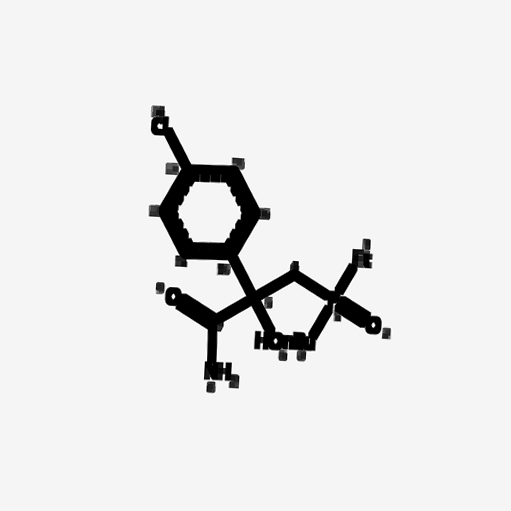 CCCCP(=O)(CC)CC(O)(C(N)=O)c1ccc(Cl)cc1